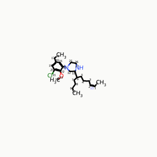 C/C=C\CCCC(CCCC)C1CN(c2cc(CC)cc(Cl)c2OC)CCN1